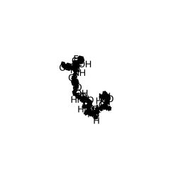 C=CC(=O)N1CCN(c2nc(NCCC(=O)N3CCN(C(=O)CCC[C@@H](C)[C@@H](O)CC(=O)N[C@@H](CC)C(=O)N(C)CC(=O)N(C)[C@@H](CC(C)C)C(=O)NC(C(=O)N(C)[C@@H](CC(C)C)C(=O)N[C@@H](C)C(=O)N[C@H](C)C(=O)N(C)[C@@H](CC(C)C)C(=O)N(C)CC(=O)N(C)C(C(=O)N(C)C)C(C)C)C(C)C)CC3)nc3c(F)c(-c4c(O)cccc4F)c(Cl)cc23)CC1